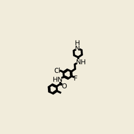 Cc1ccccc1C(=O)Nc1cc(F)c(CCNC2CCNCC2)cc1Cl